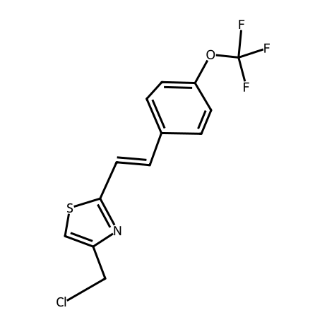 FC(F)(F)Oc1ccc(C=Cc2nc(CCl)cs2)cc1